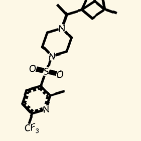 Cc1nc(C(F)(F)F)ccc1S(=O)(=O)N1CCN(C(C)C23COC(C)(C2)C3)CC1